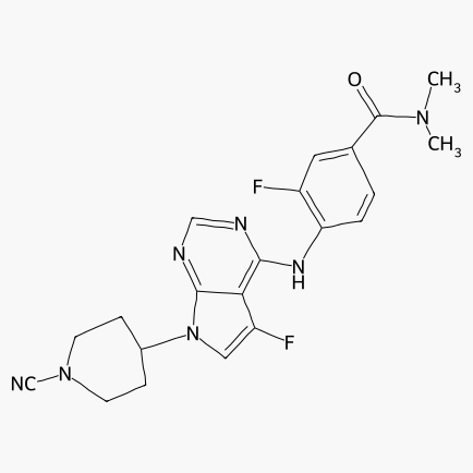 CN(C)C(=O)c1ccc(Nc2ncnc3c2c(F)cn3C2CCN(C#N)CC2)c(F)c1